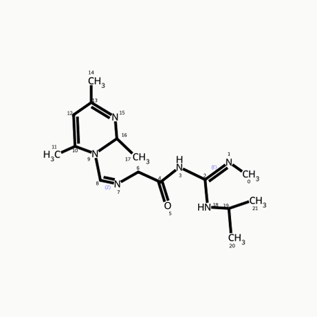 C/N=C(/NC(=O)C/N=C\N1C(C)=CC(C)=NC1C)NC(C)C